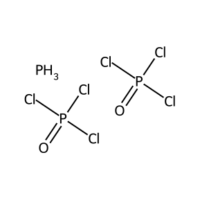 O=P(Cl)(Cl)Cl.O=P(Cl)(Cl)Cl.P